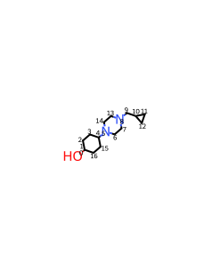 OC1CCC(N2CCN(CC3CC3)CC2)CC1